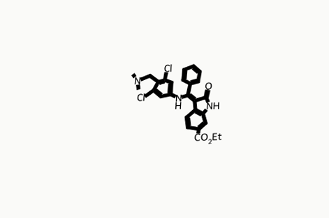 CCOC(=O)c1ccc2c(c1)NC(=O)/C2=C(/Nc1cc(Cl)c(CN(C)C)c(Cl)c1)c1ccccc1